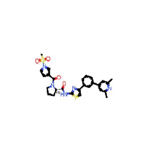 Cc1cc(-c2cccc(-c3csc(NC(=O)[C@@H]4CCCN4C(=O)c4ccn(S(C)(=O)=O)c4)n3)c2)cc(C)n1